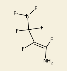 NC(F)=C(F)C(F)(F)N(F)F